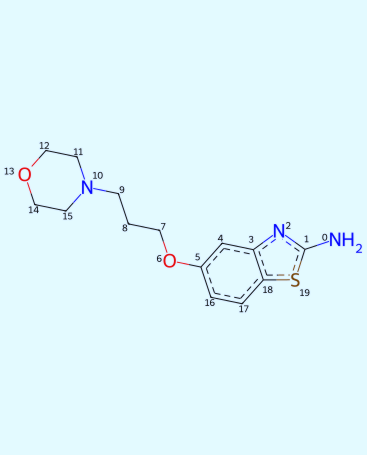 Nc1nc2cc(OCCCN3CCOCC3)ccc2s1